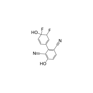 N#Cc1ccc(O)c(C#N)c1C1=CC(F)C(O)(F)C=C1